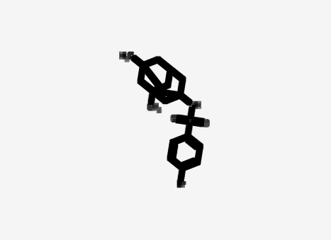 CC12CC3CC(C)(C1)CC(NS(=O)(=O)c1ccc(Br)cc1)(C3)C2